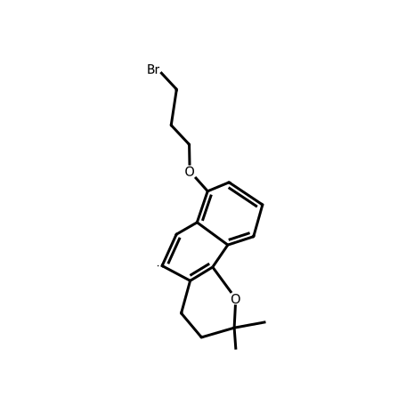 CC1(C)CCc2[c]cc3c(OCCCBr)cccc3c2O1